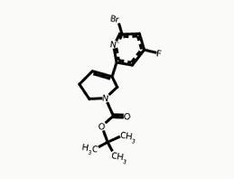 CC(C)(C)OC(=O)N1CCC=C(c2cc(F)cc(Br)n2)C1